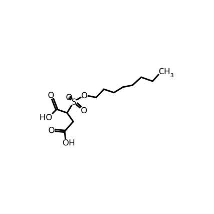 CCCCCCCCOS(=O)(=O)C(CC(=O)O)C(=O)O